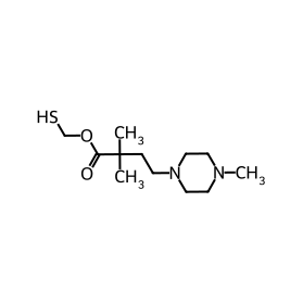 CN1CCN(CCC(C)(C)C(=O)OCS)CC1